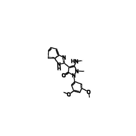 CNc1c(-c2nc3ccccc3[nH]2)c(=O)n(-c2cc(OC)cc(OC)c2)n1C